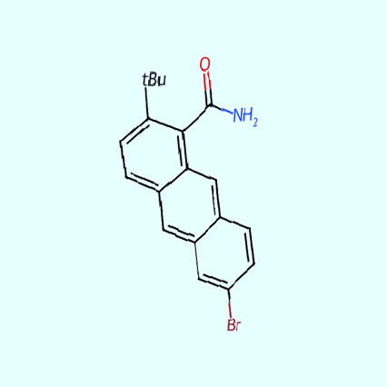 CC(C)(C)c1ccc2cc3cc(Br)ccc3cc2c1C(N)=O